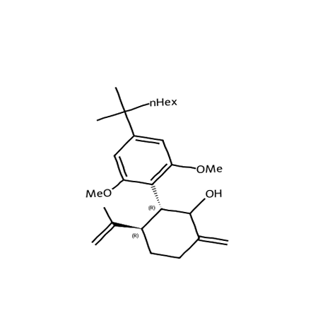 C=C1CC[C@@H](C(=C)C)[C@H](c2c(OC)cc(C(C)(C)CCCCCC)cc2OC)C1O